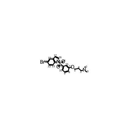 CN(C)CCCOc1cccc(S(=O)(=O)n2ccc3cc(Br)ccc32)c1